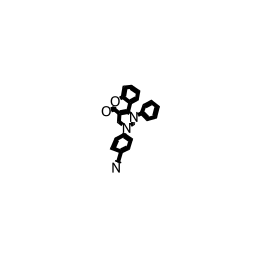 N#Cc1ccc(N2Cc3c(c4ccccc4oc3=O)N(c3ccccc3)C2)cc1